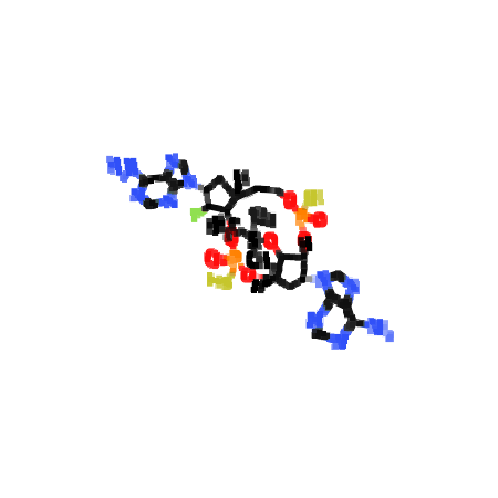 CC(C)(C)[Si](C)(C)OC1[C@@H]2C[C@@H](n3cnc4c(N)ncnc43)[C@@H]1OP(=O)(S)OCC[C@H]1C[C@@H](n3cnc4c(N)ncnc43)[C@H](F)[C@@H]1OP(=O)(S)O2